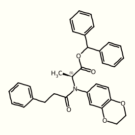 C[C@@H](C(=O)OC(c1ccccc1)c1ccccc1)N(C(=O)CCc1ccccc1)c1ccc2c(c1)OCCO2